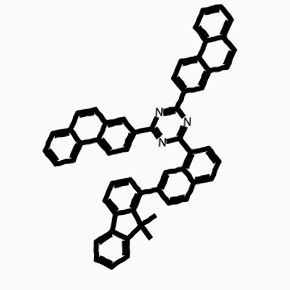 CC1(C)c2ccccc2-c2cccc(-c3ccc4cccc(-c5nc(-c6ccc7c(ccc8ccccc87)c6)nc(-c6ccc7c(ccc8ccccc87)c6)n5)c4c3)c21